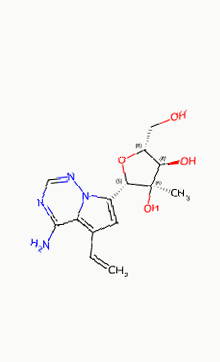 C=Cc1cc([C@@H]2O[C@H](CO)[C@@H](O)[C@@]2(C)O)n2ncnc(N)c12